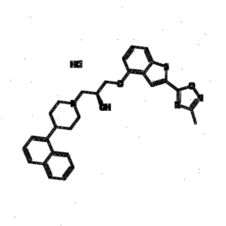 Cc1noc(-c2cc3c(OC[C@@H](O)CN4CCC(c5cccc6ccccc56)CC4)cccc3s2)n1.Cl